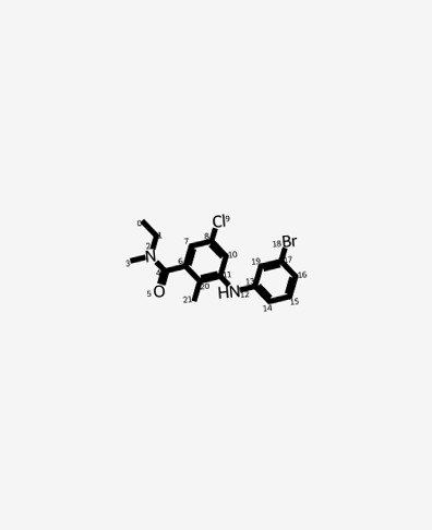 CCN(C)C(=O)c1cc(Cl)cc(Nc2cccc(Br)c2)c1C